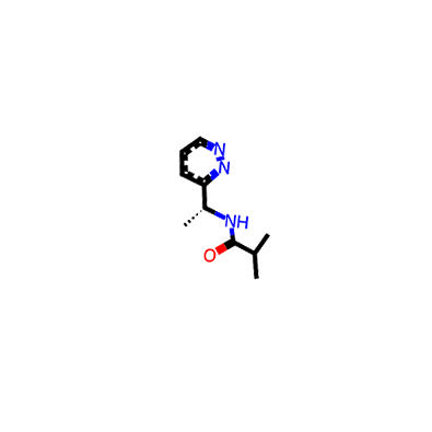 CC(C)C(=O)N[C@H](C)c1cccnn1